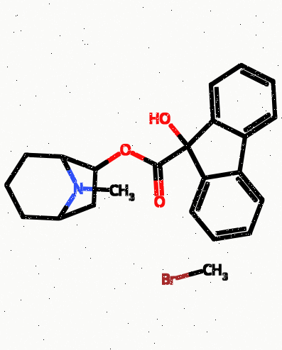 CBr.CN1C2CCCC1C(OC(=O)C1(O)c3ccccc3-c3ccccc31)C2